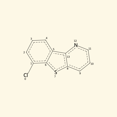 Clc1cccc2c1sc1cccnc12